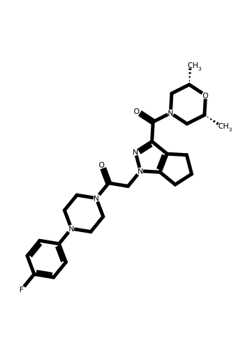 C[C@@H]1CN(C(=O)c2nn(CC(=O)N3CCN(c4ccc(F)cc4)CC3)c3c2CCC3)C[C@H](C)O1